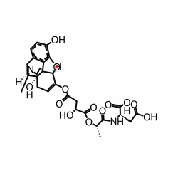 C[C@H](OC(=O)[C@@H](O)CC(=O)OC1=CC[C@@]2(O)[C@H]3Cc4ccc(O)c5c4[C@@]2(CCN3C)[C@H]1O5)C(=O)N[C@H](CC(=O)O)C(=O)O